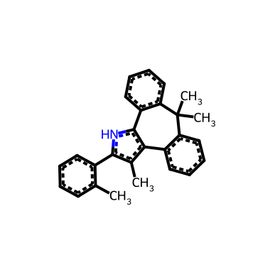 Cc1ccccc1-c1[nH]c2c(c1C)-c1ccccc1C(C)(C)c1ccccc1-2